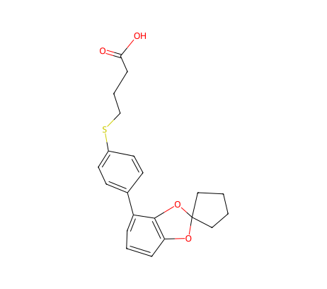 O=C(O)CCCSc1ccc(-c2cccc3c2OC2(CCCC2)O3)cc1